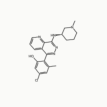 Cc1cc(Cl)cc(O)c1-c1nnc(N[C@@H]2CCCN(C)C2)c2ncccc12